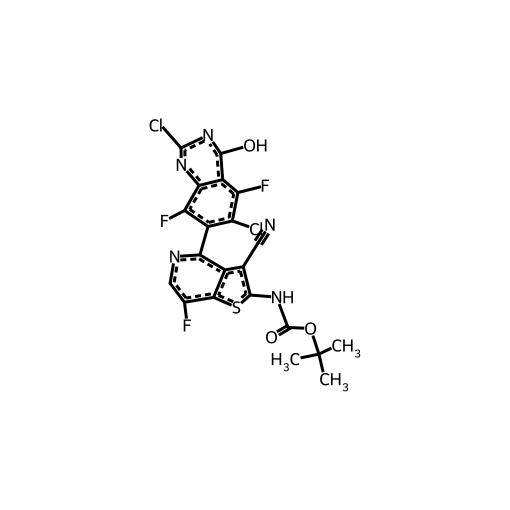 CC(C)(C)OC(=O)Nc1sc2c(F)cnc(-c3c(Cl)c(F)c4c(O)nc(Cl)nc4c3F)c2c1C#N